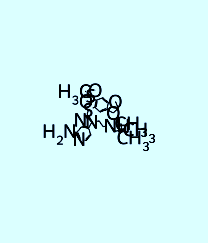 CC(C)(C)CNCCn1c(Sc2cc3c(cc2S(C)(=O)=O)OCO3)nc2c(N)nccc21